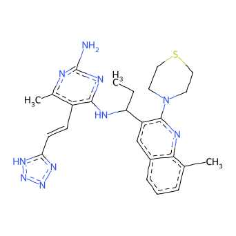 CCC(Nc1nc(N)nc(C)c1/C=C/c1nnn[nH]1)c1cc2cccc(C)c2nc1N1CCSCC1